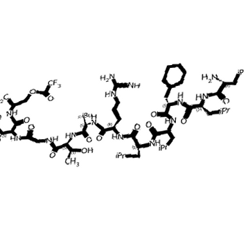 CC[C@H](C)[C@H](NC(=O)[C@@H](CCCNC(=N)N)NC(=O)[C@H](CC(C)C)NC(=O)C(CC(C)C)NC(=O)[C@H](CC1CCCCC1)NC(=O)[C@H](CC(C)C)NC(=O)[C@H](N)CC(C)C)C(=O)N[C@H](C(=O)NCC(=O)NC(C(=O)NC(COC(=O)C(F)(F)F)C(=O)O)[C@H](O)C(N)=O)[C@H](C)O